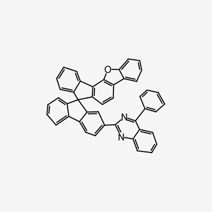 c1ccc(-c2nc(-c3ccc4c(c3)C3(c5ccccc5-4)c4ccccc4-c4c3ccc3c4oc4ccccc43)nc3ccccc23)cc1